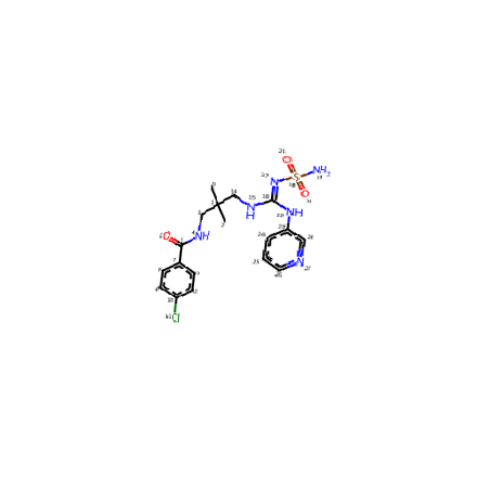 CC(C)(CNC(=O)c1ccc(Cl)cc1)CNC(=NS(N)(=O)=O)Nc1cccnc1